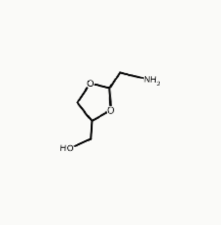 NCC1OCC(CO)O1